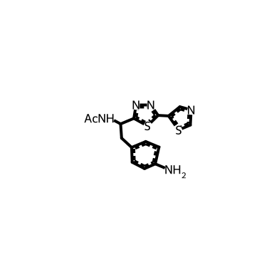 CC(=O)NC(Cc1ccc(N)cc1)c1nnc(-c2cncs2)s1